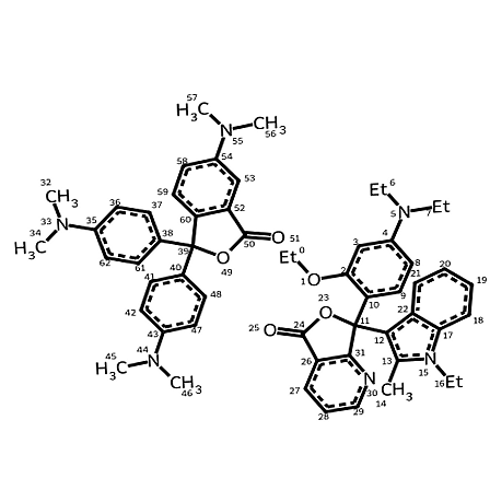 CCOc1cc(N(CC)CC)ccc1C1(c2c(C)n(CC)c3ccccc23)OC(=O)c2cccnc21.CN(C)c1ccc(C2(c3ccc(N(C)C)cc3)OC(=O)c3cc(N(C)C)ccc32)cc1